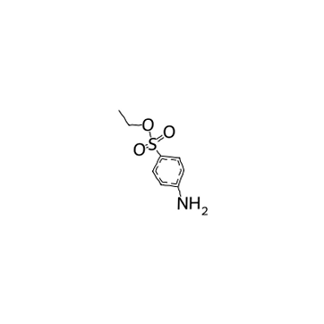 CCOS(=O)(=O)c1ccc(N)cc1